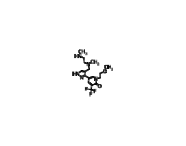 CNCCN(C)Cc1c[nH]nc1-c1cc(C(F)(F)F)c(=O)n(CCOC)c1